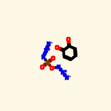 O=C1C=CC=CC1=O.[N-]=[N+]=NOS(=O)(=O)N=[N+]=[N-]